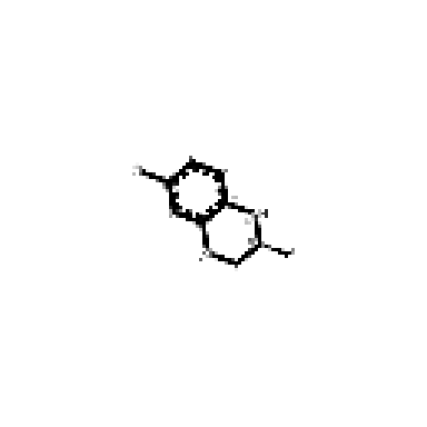 C[C@H]1COc2cc(Cl)ccc2N1